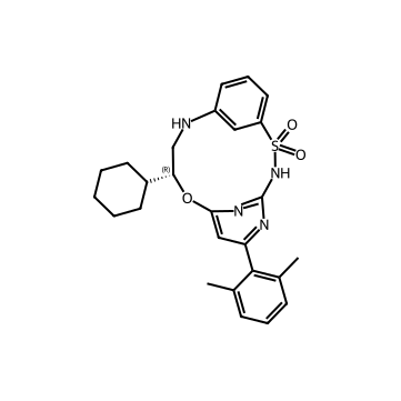 Cc1cccc(C)c1-c1cc2nc(n1)NS(=O)(=O)c1cccc(c1)NC[C@@H](C1CCCCC1)O2